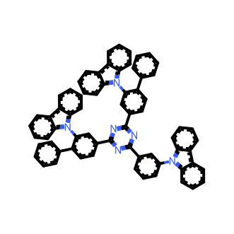 c1ccc(-c2ccc(-c3nc(-c4cccc(-n5c6ccccc6c6ccccc65)c4)nc(-c4ccc(-c5ccccc5)c(-n5c6ccccc6c6ccccc65)c4)n3)cc2-n2c3ccccc3c3ccccc32)cc1